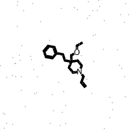 C=CCN1CCC(CCc2ccccc2)(COCC)CC1